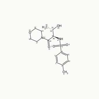 Cc1ccc(S(=O)(=O)N[C@@H](C(=O)N2CCOCC2)[C@H](C)O)cc1